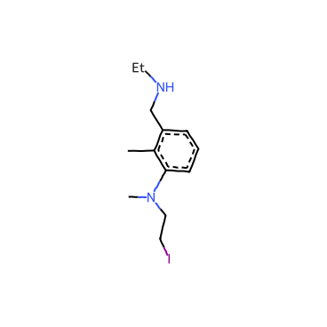 CCNCc1cccc(N(C)CCI)c1C